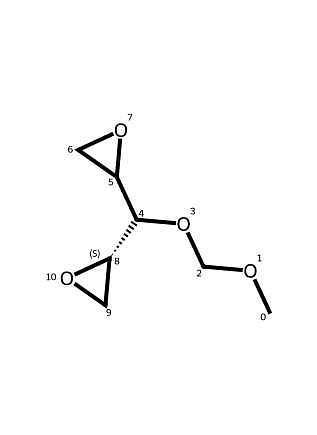 COCOC(C1CO1)[C@@H]1CO1